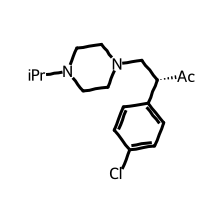 CC(=O)[C@@H](CN1CCN(C(C)C)CC1)c1ccc(Cl)cc1